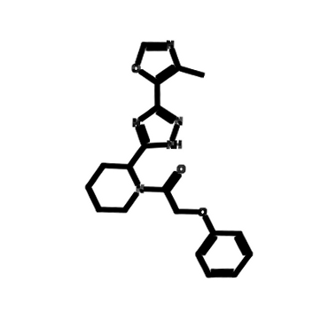 Cc1ncoc1-c1n[nH]c(C2CCCCN2C(=O)COc2ccccc2)n1